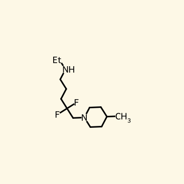 CCNCCCC(F)(F)CN1CCC(C)CC1